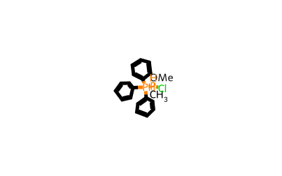 CO[PH](C)(Cl)[PH](c1ccccc1)(c1ccccc1)c1ccccc1